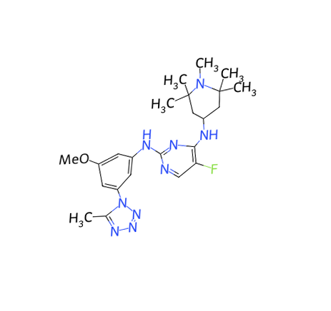 COc1cc(Nc2ncc(F)c(NC3CC(C)(C)N(C)C(C)(C)C3)n2)cc(-n2nnnc2C)c1